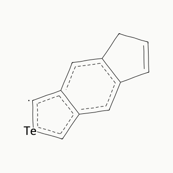 [c]1[te]cc2cc3c(cc12)CC=C3